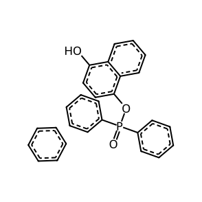 O=P(Oc1ccc(O)c2ccccc12)(c1ccccc1)c1ccccc1.c1ccccc1